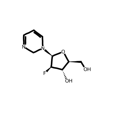 OC[C@@H]1O[C@H](N2C=CC=NC2)[C@H](F)[C@H]1O